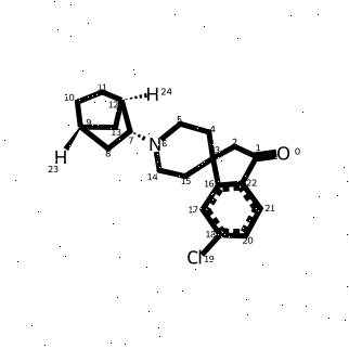 O=C1CC2(CCN([C@@H]3C[C@@H]4CC[C@@H]3C4)CC2)c2cc(Cl)ccc21